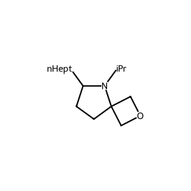 CCCCCCCC1CCC2(COC2)N1C(C)C